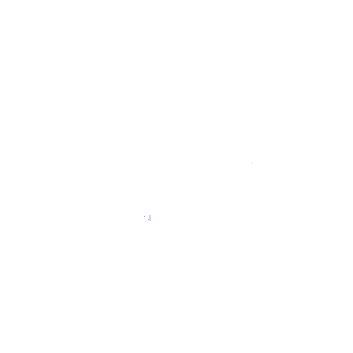 Fc1cccc(C(F)(F)F)c1COCCNC1CCCCC1